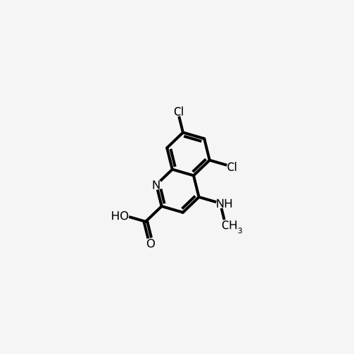 CNc1cc(C(=O)O)nc2cc(Cl)cc(Cl)c12